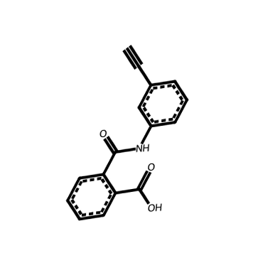 C#Cc1cccc(NC(=O)c2ccccc2C(=O)O)c1